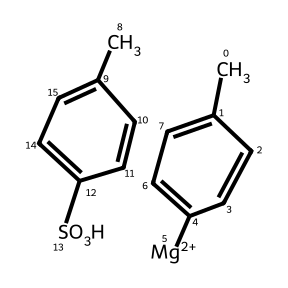 Cc1cc[c]([Mg+2])cc1.Cc1ccc(S(=O)(=O)O)cc1